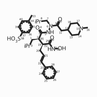 CC(C)C[C@@H](C(=O)NN(CC(C)C)C(=O)CC1CCN(C)CC1)[C@H](CC=Cc1ccccc1)C(=O)NO.Cc1ccc(S(=O)(=O)O)cc1